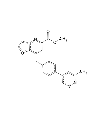 COC(=O)c1cc(Cc2ccc(-c3cnnc(C)c3)cc2)c2occc2n1